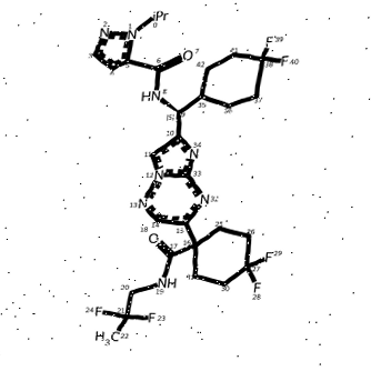 CC(C)n1nccc1C(=O)N[C@H](c1cn2ncc(C3(C(=O)NCC(C)(F)F)CCC(F)(F)CC3)nc2n1)C1CCC(F)(F)CC1